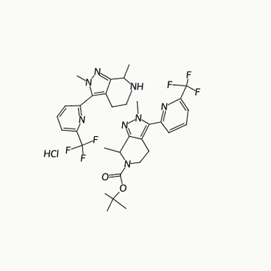 CC1NCCc2c1nn(C)c2-c1cccc(C(F)(F)F)n1.CC1c2nn(C)c(-c3cccc(C(F)(F)F)n3)c2CCN1C(=O)OC(C)(C)C.Cl